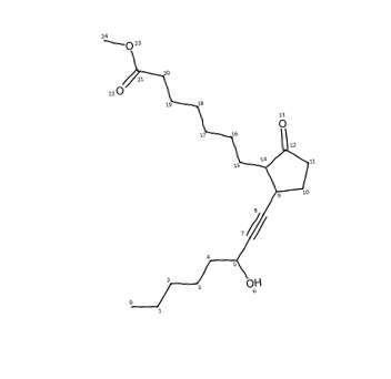 CCCCCC(O)C#CC1CCC(=O)C1CCCCCCC(=O)OC